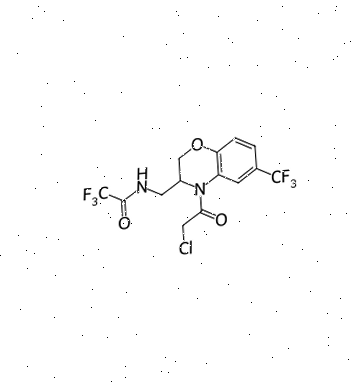 O=C(CCl)N1c2cc(C(F)(F)F)ccc2OCC1CNC(=O)C(F)(F)F